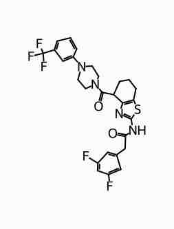 O=C(Cc1cc(F)cc(F)c1)Nc1nc2c(s1)CCCC2C(=O)N1CCN(c2cccc(C(F)(F)F)c2)CC1